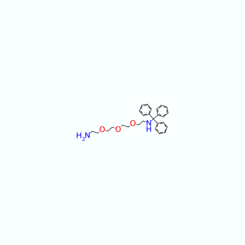 NCCOCCOCCOCCNC(c1ccccc1)(c1ccccc1)c1ccccc1